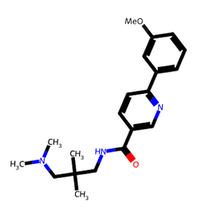 COc1cccc(-c2ccc(C(=O)NCC(C)(C)CN(C)C)cn2)c1